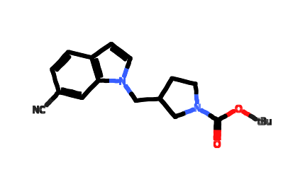 CC(C)(C)OC(=O)N1CCC(Cn2ccc3ccc(C#N)cc32)C1